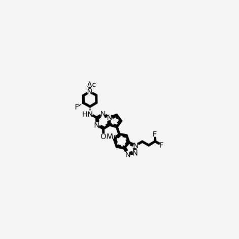 COc1nc(N[C@H]2CCN(C(C)=O)C[C@H]2F)nn2ccc(-c3ccc4nnn(CCC(F)F)c4c3)c12